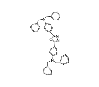 c1ccc(CN(Cc2ccccc2)c2ccc(-c3nnc(-c4ccc(N(Cc5ccccc5)Cc5ccccc5)cc4)o3)cc2)cc1